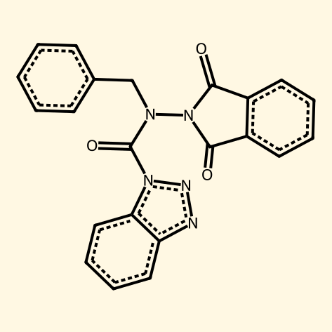 O=C1c2ccccc2C(=O)N1N(Cc1ccccc1)C(=O)n1nnc2ccccc21